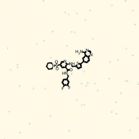 Nc1ncnc2ccc(-c3ccc(CNc4ncc(S(=O)(=O)N5CCCCC5)cc4C(=O)NCc4ccc(F)c(F)c4)s3)cc12